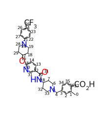 Cc1cc(CN2CCC(NC(=O)c3ccc(OC4CCN(c5ccc(C(F)(F)F)cc5)CC4)nc3)CC2)ccc1C(=O)O